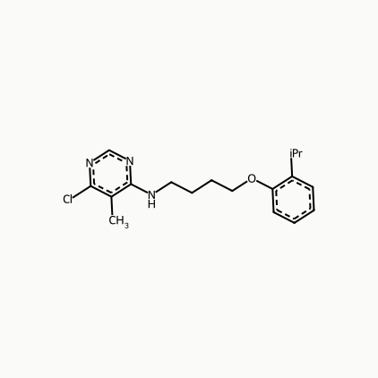 Cc1c(Cl)ncnc1NCCCCOc1ccccc1C(C)C